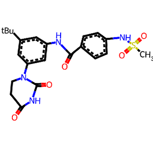 CC(C)(C)c1cc(NC(=O)c2ccc(NS(C)(=O)=O)cc2)cc(N2CCC(=O)NC2=O)c1